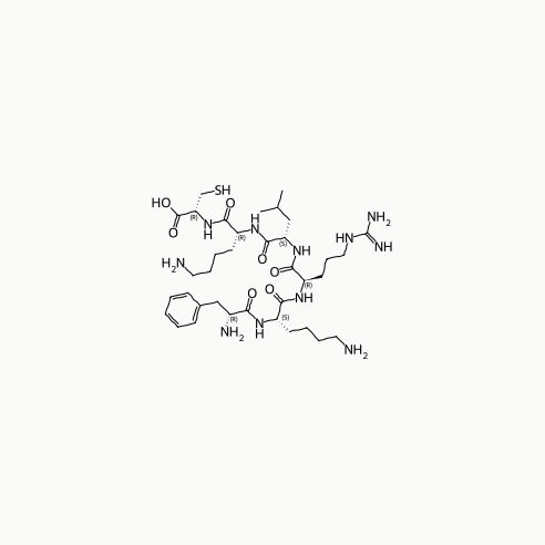 CC(C)C[C@H](NC(=O)[C@@H](CCCNC(=N)N)NC(=O)[C@H](CCCCN)NC(=O)[C@H](N)Cc1ccccc1)C(=O)N[C@H](CCCCN)C(=O)N[C@@H](CS)C(=O)O